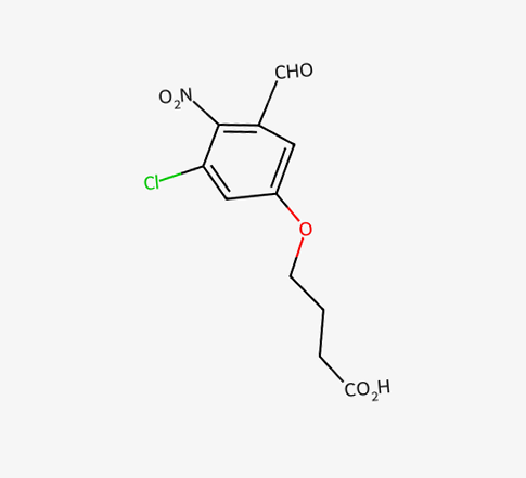 O=Cc1cc(OCCCC(=O)O)cc(Cl)c1[N+](=O)[O-]